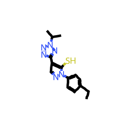 CCc1ccc(-n2ncc(-c3nnn(C(C)C)n3)c2S)cc1